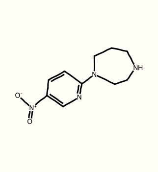 O=[N+]([O-])c1ccc(N2CCCNCC2)nc1